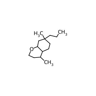 CCCC1(C)CCC2C(C)CCOC2C1